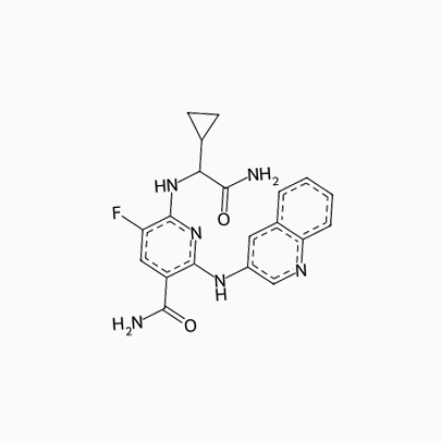 NC(=O)c1cc(F)c(NC(C(N)=O)C2CC2)nc1Nc1cnc2ccccc2c1